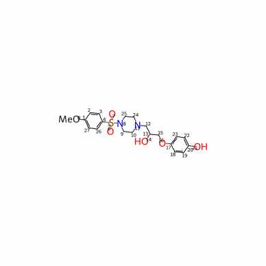 COc1ccc(S(=O)(=O)N2CCN(C[C@H](O)COc3ccc(O)cc3)CC2)cc1